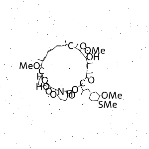 CO[C@H]1C[C@@H]2CC[C@@H](C)[C@@](O)(O2)C(=O)C(=O)N2CCCC[C@H]2C(=O)OC([C@H](C)CC2CC[C@@H](SC)[C@H](OC)C2)CC(=O)[C@H](C)/C=C(\C)[C@@H](O)[C@@H](OC)C(=O)[C@H](C)C[C@H](C)/C=C/C=C/C=C/1C